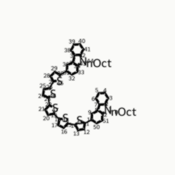 CCCCCCCCn1c2ccccc2c2cc(-c3ccc(-c4ccc(-c5ccc(-c6ccc(-c7ccc(-c8ccc9c(c8)c8ccccc8n9CCCCCCCC)s7)s6)s5)s4)s3)ccc21